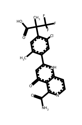 Cc1cc(C(C)(C(=O)O)C(F)(F)F)c(Cl)cc1-c1cc(=O)c2c(C(N)=O)nccc2[nH]1